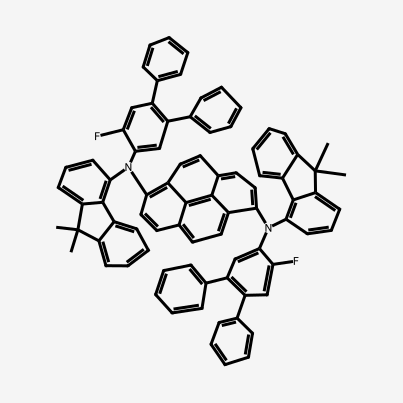 CC1(C)c2ccccc2-c2c(N(c3cc(-c4ccccc4)c(-c4ccccc4)cc3F)c3ccc4ccc5c(N(c6cc(-c7ccccc7)c(-c7ccccc7)cc6F)c6cccc7c6-c6ccccc6C7(C)C)ccc6ccc3c4c65)cccc21